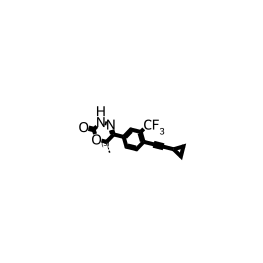 C[C@@H]1OC(=O)NN=C1c1ccc(C#CC2CC2)c(C(F)(F)F)c1